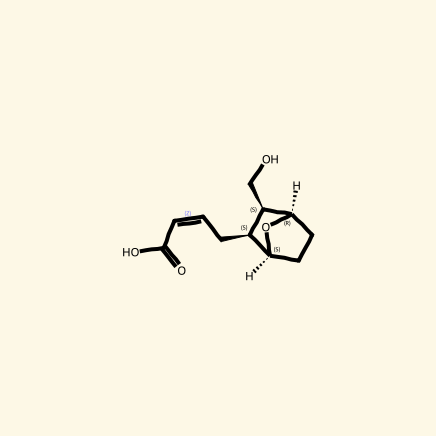 O=C(O)/C=C\C[C@H]1[C@@H](CO)[C@H]2CC[C@@H]1O2